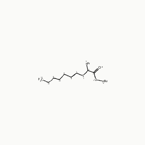 CCCCOC(=O)C(CCC)SCCCCCCC(F)(F)F